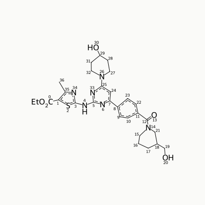 CCOC(=O)c1sc(Nc2nc(-c3ccc(C(=O)N4CCCC(CO)C4)cc3)cc(N3CCC(O)CC3)n2)nc1C